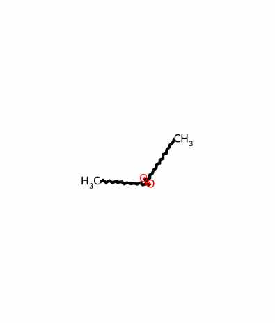 CCCCCC/C=C/CCCCCCCCC([C]=O)C(=O)C=CCCCCCCCCCCCCCCC